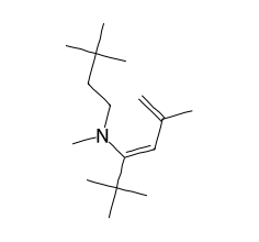 C=C(C)/C=C(\N(C)CCC(C)(C)C)C(C)(C)C